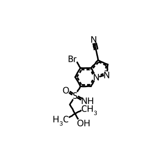 CC(C)(O)CS(=N)(=O)c1cc(Br)c2c(C#N)cnn2c1